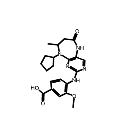 COc1cc(C(=O)O)ccc1Nc1ncc2c(n1)N(C1CCCC1)C(C)CC(=O)N2